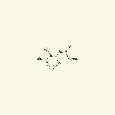 COC(/C=C(/Br)C=N)=C(/C)C(=O)O